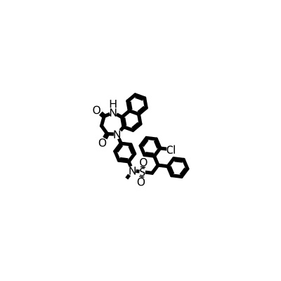 CN(c1ccc(N2C(=O)CC(=O)Nc3c2ccc2ccccc32)cc1)S(=O)(=O)CC(c1ccccc1)c1ccccc1Cl